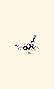 Cc1c(Cc2ccc(S(=O)(=O)N(C)C)cc2)c(C(C)(C)C)nn1CC(F)=CCN.Cl